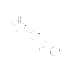 CC1SC(=O)NN=C1c1ccc2c(c1)C(C)(C)CCN2C(=N)c1ccc(F)cc1